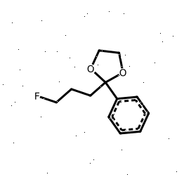 FCCCC1(c2ccccc2)OCCO1